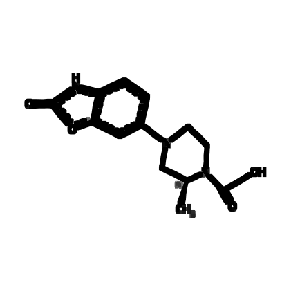 C[C@H]1CN(c2ccc3[nH]c(=O)oc3c2)CCN1C(=O)O